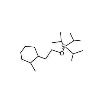 CC1CCCCC1CCO[Si](C(C)C)(C(C)C)C(C)C